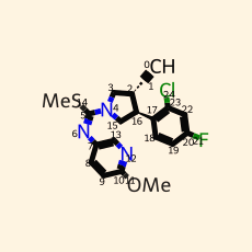 C#C[C@H]1CN(/C(=N\c2ccc(OC)nc2)SC)C[C@@H]1c1ccc(F)cc1Cl